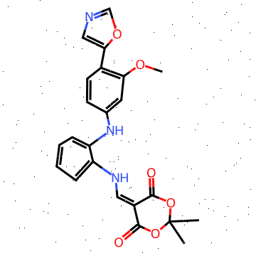 COc1cc(Nc2ccccc2NC=C2C(=O)OC(C)(C)OC2=O)ccc1-c1cnco1